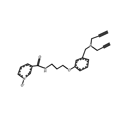 C#CCN(CC#C)Cc1cccc(OCCCNC(=O)c2ccc[n+]([O-])c2)c1